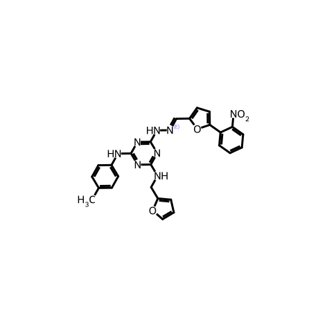 Cc1ccc(Nc2nc(NCc3ccco3)nc(N/N=C/c3ccc(-c4ccccc4[N+](=O)[O-])o3)n2)cc1